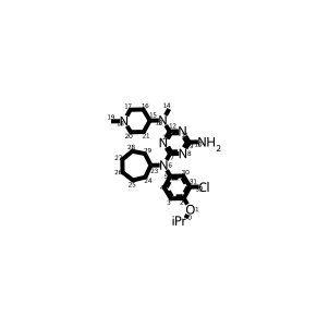 CC(C)Oc1ccc(N(c2nc(N)nc(N(C)C3CCN(C)CC3)n2)C2CCCCCC2)cc1Cl